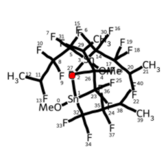 C[O][Sn]([O][Sn]([O]C)([C](F)(F)C(F)(F)C(C)F)[C](F)(F)C(F)(F)C(C)F)([C](F)(F)C(F)(F)C(C)F)[C](F)(F)C(F)(F)C(C)F